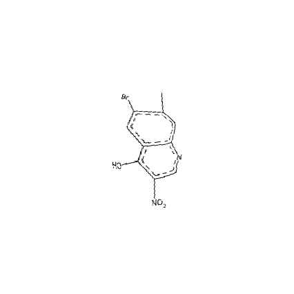 Cc1cc2ncc([N+](=O)[O-])c(O)c2cc1Br